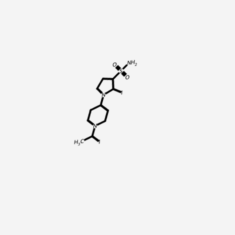 CC(I)N1CCC(N2CCC(S(N)(=O)=O)C2I)CC1